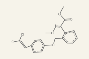 CO/N=C(/C(=O)OC)c1ccccc1COc1ccc(C=C(Cl)Cl)cc1